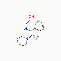 O=C(O)N1CCCCC1CN(CCO)Cc1ccccc1